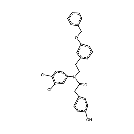 O=C(Cc1ccc(O)cc1)N(CCc1cccc(OCc2ccccc2)c1)c1ccc(Cl)c(Cl)c1